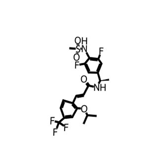 CC(C)Oc1cc(C(F)(F)F)ccc1/C=C/C(=O)N[C@H](C)c1cc(F)c(NS(C)(=O)=O)c(F)c1